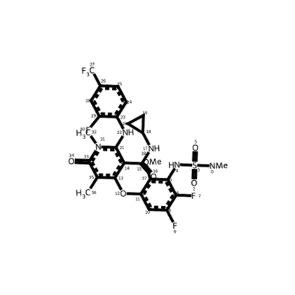 CNS(=O)(=O)Nc1c(F)c(F)cc(Oc2c(C(=O)NC3CC3)c(Nc3ccc(C(F)(F)F)cc3F)n(C)c(=O)c2C)c1OC